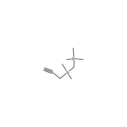 C#CC[Si](C)(C)C[Si](C)(C)C